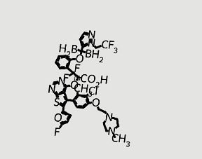 BC(B)(Oc1ccccc1C(F)(F)[C@@H](Oc1ncnc2sc(-c3ccc(F)o3)c(-c3ccc(OCCN4CCN(C)CC4)c(Cl)c3C)c12)C(=O)O)c1ccnn1CC(F)(F)F